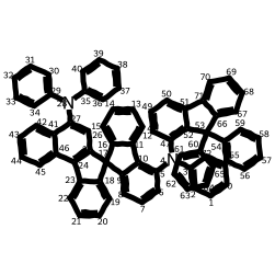 c1ccc(N(c2cccc3c2-c2ccccc2C32c3ccccc3-c3c2cc(N(c2ccccc2)c2ccccc2)c2ccccc32)c2cccc3c2C(c2ccccc2)(c2ccccc2)c2ccccc2-3)cc1